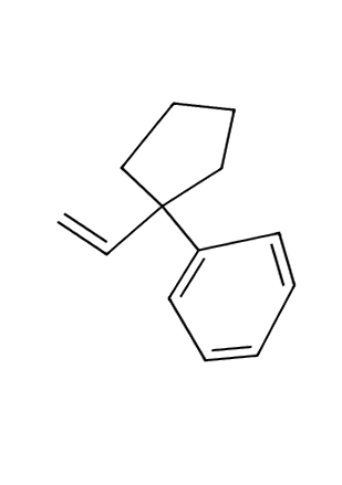 C=CC1(c2ccccc2)CCCC1